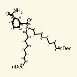 CCCCCCCCCCCCCCCCCCN(CCCCCCCCCCCCCCCCCC)C(=O)c1cccc(C(N)=O)c1